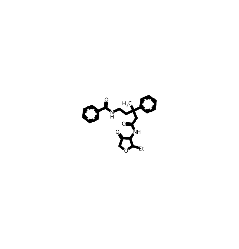 CCC1OCC(=O)C1NC(=O)CC(C)(CCNC(=O)c1ccccc1)c1ccccc1